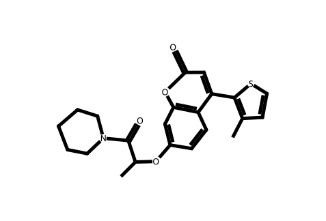 Cc1ccsc1-c1cc(=O)oc2cc(OC(C)C(=O)N3CCCCC3)ccc12